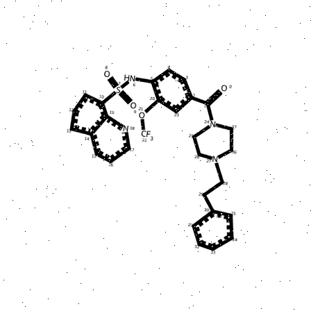 O=C(c1ccc(NS(=O)(=O)c2cccc3cccnc23)c(OC(F)(F)F)c1)N1CCN(CCc2ccccc2)CC1